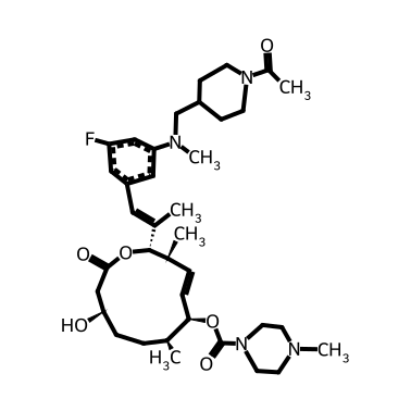 CC(=O)N1CCC(CN(C)c2cc(F)cc(/C=C(\C)[C@H]3OC(=O)C[C@H](O)CC[C@H](C)[C@H](OC(=O)N4CCN(C)CC4)/C=C/[C@@H]3C)c2)CC1